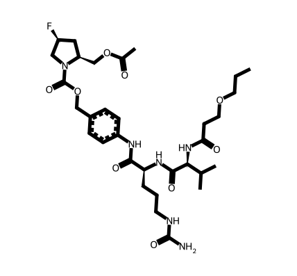 CCCOCCC(=O)N[C@H](C(=O)N[C@@H](CCCNC(N)=O)C(=O)Nc1ccc(COC(=O)N2C[C@@H](F)C[C@H]2COC(C)=O)cc1)C(C)C